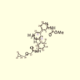 COC(=O)Nc1cc(C(/C=C(\N)c2cc(NC(=O)COCC3CC3)ccc2C)=C/N)ccn1